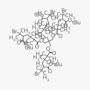 CC(C)(C)OC(=O)C(CC(C)(C)C(C)(C)C(=O)OCC(COC(=O)C(C)(C)C(C)(C)CC(C(=O)OC(C)(C)C)C(C)(C)Br)(COC(=O)C(C)(C)C(C)(C)CC(C(=O)OC(C)(C)C)C(C)(C)Br)COC(=O)C(C)(C)C(C)(C)CC(C(=O)C(C)(C)C)C(C)(C)Br)C(C)(C)Br